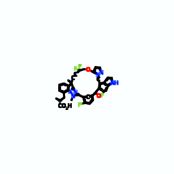 C[C@H](Cc1cccc(C2(C)CCC(F)(F)COc3ccnn3Cc3c(c(F)cc4[nH]ccc34)C(=O)c3ccc(F)c(c3)-c3nc2nn3C)c1)C(=O)O